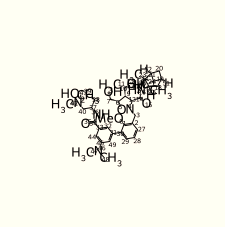 COc1c(CN2O[C@@H](CO)[C@@H]([C@H](C)O)[C@H]2C(=O)N[C@H]2C[C@H]3C[C@@H]([C@@H]2C)C3(C)C)cccc1-c1cc(C(=O)N[C@H](CC(=O)O)CN(C)C)cc(N(C)C)c1